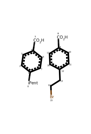 CCCC(C)c1ccc(C(=O)O)cc1.O=C(O)c1ccc(CCBr)cc1